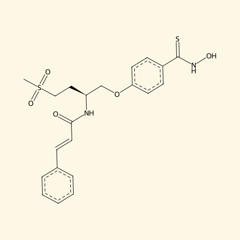 CS(=O)(=O)CC[C@@H](COc1ccc(C(=S)NO)cc1)NC(=O)/C=C/c1ccccc1